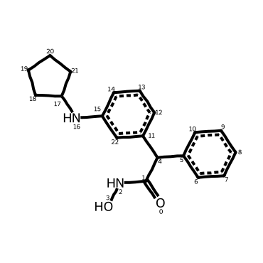 O=C(NO)C(c1ccccc1)c1cccc(NC2CCCC2)c1